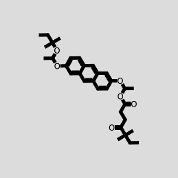 CCC(C)(C)OC(C)Oc1ccc2cc3cc(OC(C)OC(=O)CCC(=O)C(C)(C)CC)ccc3cc2c1